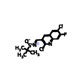 CC(C)(C)[S+]([O-])/N=C/c1cc2cc(Cl)c(F)cc2nc1Cl